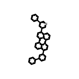 c1ccc(-c2cccc(-c3ccc4c5cccc6c(-c7cncc(-c8ccccc8)c7)ccc(c7cccc3c47)c65)c2)cc1